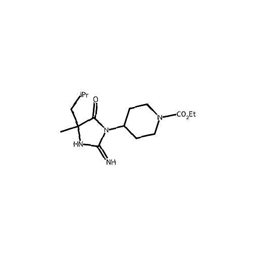 CCOC(=O)N1CCC(N2C(=N)NC(C)(CC(C)C)C2=O)CC1